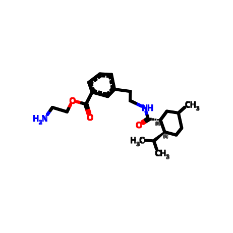 CC1CC[C@@H](C(C)C)[C@H](C(=O)NCCc2cccc(C(=O)OCCN)c2)C1